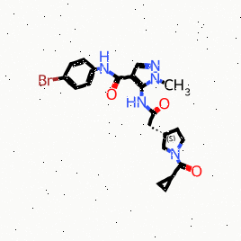 Cn1ncc(C(=O)Nc2ccc(Br)cc2)c1NC(=O)C[C@@H]1CCN(C(=O)C2CC2)C1